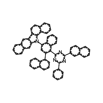 c1ccc(-c2nc(-c3ccc4ccccc4c3)nc(-c3c(-c4cccc5ccccc45)cc(-n4c5cc6ccccc6cc5c5ccc6ccccc6c54)c4ccccc34)n2)cc1